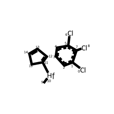 Clc1cccc(Cl)c1Cl.[CH3][Hf][C]1=CC=CC1